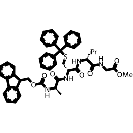 COC(=O)CNC(=O)[C@H](NC(=O)[C@@H](CSC(c1ccccc1)(c1ccccc1)c1ccccc1)NC(=O)[C@@H](C)NC(=O)OCC1c2ccccc2-c2ccccc21)C(C)C